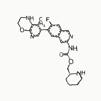 Cc1c(-c2cc3cc(NC(=O)OC[C@@H]4CCCCN4)ncc3cc2F)cnc2c1NCCO2